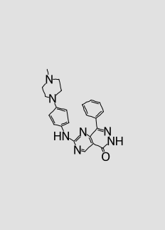 CN1CCN(c2ccc(Nc3ncc4c(=O)[nH]nc(-c5ccccc5)c4n3)cc2)CC1